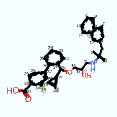 CC(C)(Cc1ccc2ccccc2c1)NC[C@H](O)COC(c1ccccc1-c1ccc(C(=O)O)c(F)c1)C1CC1